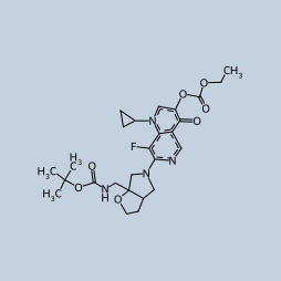 CCOC(=O)Oc1cn(C2CC2)c2c(F)c(N3CC4CCOC4(CNC(=O)OC(C)(C)C)C3)ncc2c1=O